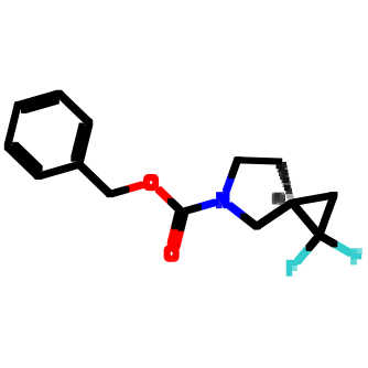 O=C(OCc1ccccc1)N1CC[C@]2(C1)CC2(F)F